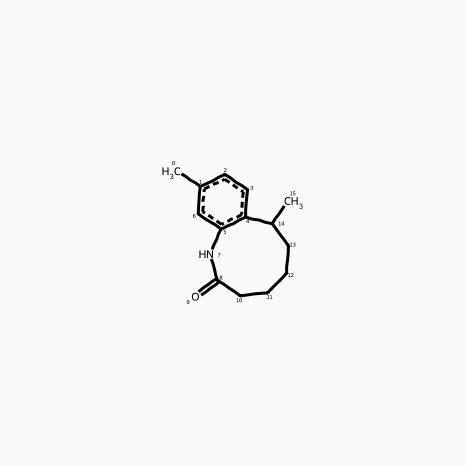 Cc1ccc2c(c1)NC(=O)CCCCC2C